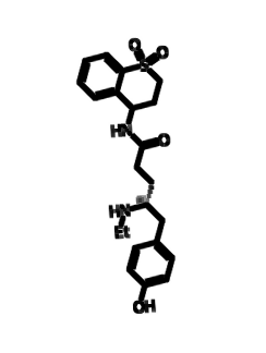 CCN[C@H](CCC(=O)NC1CCS(=O)(=O)c2ccccc21)Cc1ccc(O)cc1